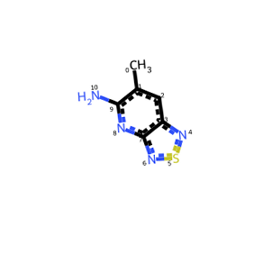 Cc1cc2nsnc2nc1N